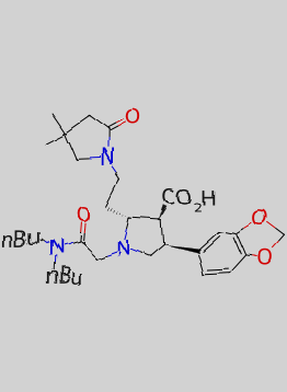 CCCCN(CCCC)C(=O)CN1C[C@H](c2ccc3c(c2)OCO3)[C@H](C(=O)O)[C@H]1CCN1CC(C)(C)CC1=O